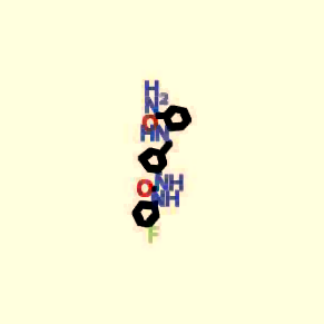 NC(=O)c1ccccc1NCc1cccc(NC(=O)Nc2cccc(F)c2)c1